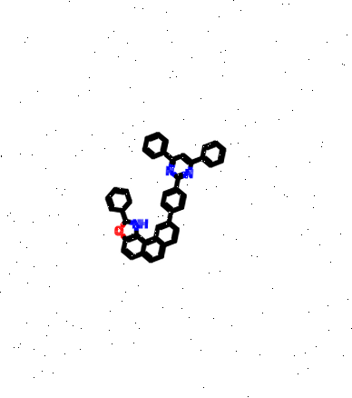 C1=CCC(C2Nc3c(ccc4ccc5ccc(-c6ccc(-c7nc(-c8ccccc8)cc(-c8ccccc8)n7)cc6)cc5c34)O2)C=C1